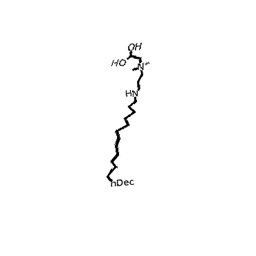 CCCCCCCCCCCCCCCCCCCCCCNCCC[N+](C)(C)CC(O)O